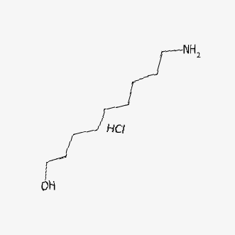 Cl.NCCCCCCCCCO